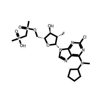 CN(c1nc(Cl)nc2c1ncn2[C@@H]1O[C@H](COP(C)(=O)CP(C)(=O)O)[C@@H](O)[C@@H]1F)C1CCCC1